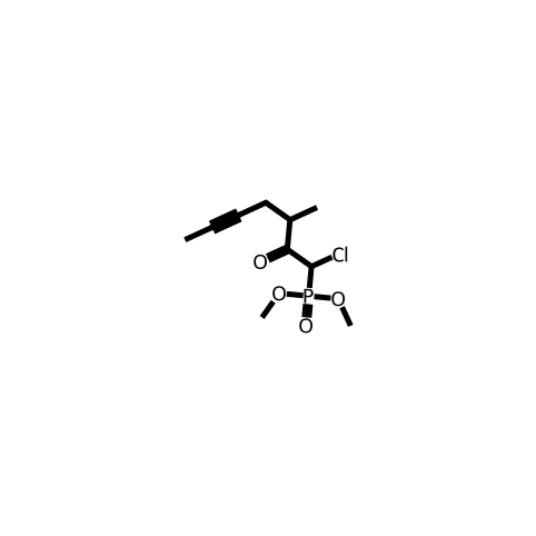 CC#CCC(C)C(=O)C(Cl)P(=O)(OC)OC